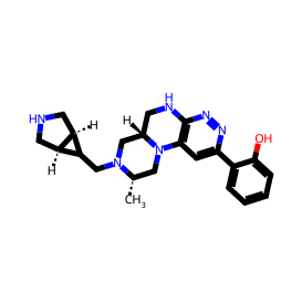 C[C@H]1CN2c3cc(-c4ccccc4O)nnc3NC[C@H]2CN1CC1[C@H]2CNC[C@@H]12